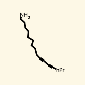 CCCC#CC#CCCCCCCCCCN